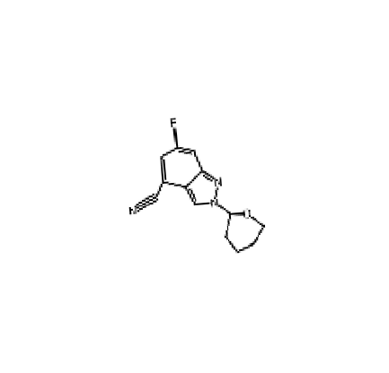 N#Cc1cc(F)cc2nn(C3CCCCO3)cc12